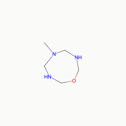 CN1CNCOCNC1